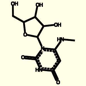 CNc1cc(=O)[nH]c(=O)n1C1OC(CO)C(O)C1O